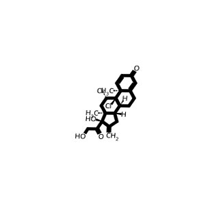 C=C1C[C@H]2[C@@H]3CCC4=CC(=O)C=C[C@]4(C)[C@@]3(Cl)[C@@H](Cl)C[C@]2(C)[C@@]1(O)C(=O)CO